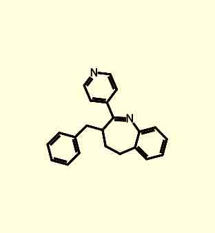 c1ccc(CC2CCc3ccccc3N=C2c2ccncc2)cc1